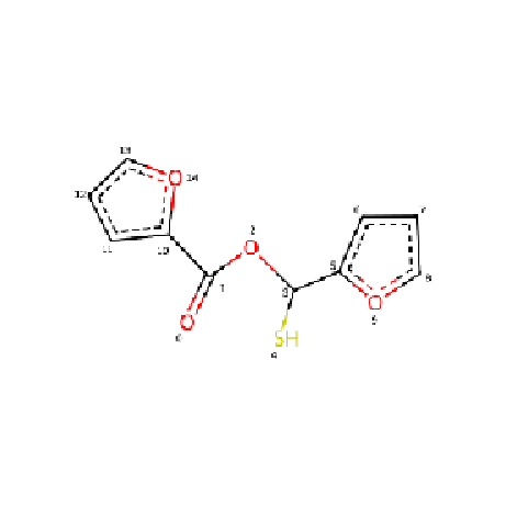 O=C(OC(S)c1ccco1)c1ccco1